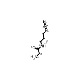 Cl.[N-]=[N+]=NCCCNC(=O)CN